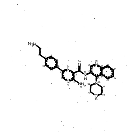 NCCc1ccc(-c2cnc(N)c(C(=O)Nc3cnc4ccccc4c3N3CCOCC3)n2)cc1